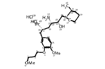 COCCCOc1cc(C[C@@H](C[C@H](N)[C@@H](O)CN2CCCC[C@@H]2C)C(C)C)ccc1OC.Cl.Cl